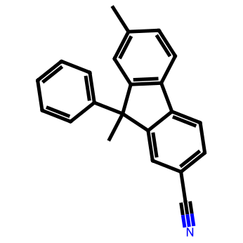 Cc1ccc2c(c1)C(C)(c1ccccc1)c1cc(C#N)ccc1-2